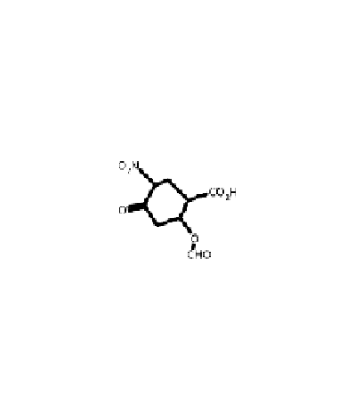 O=COC1CC(=O)C([N+](=O)[O-])CC1C(=O)O